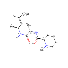 CCOC(=O)/C(C)=C/[C@H](C(C)C)N(C)C(=O)[C@@H](NC(=O)[C@H]1CCCCN1C(C)CC)C(C)(C)C